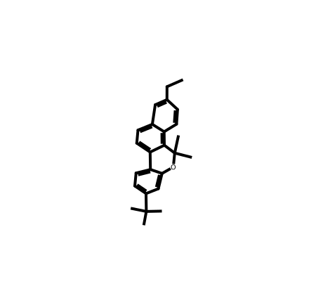 CCc1ccc2c3c(ccc2c1)-c1ccc(C(C)(C)C)cc1OC3(C)C